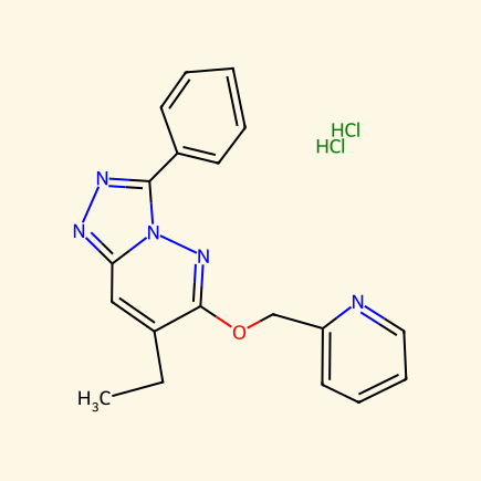 CCc1cc2nnc(-c3ccccc3)n2nc1OCc1ccccn1.Cl.Cl